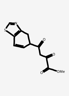 COC(=O)C(=O)CC(=O)C1C=Cc2scnc2C1